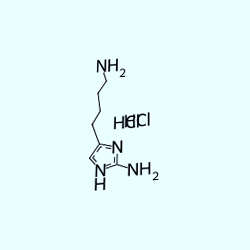 Cl.Cl.NCCCCc1c[nH]c(N)n1